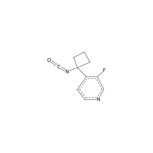 O=C=NC1(c2ccncc2F)CCC1